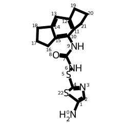 Nc1cnc(SNC(=O)Nc2c3c(cc4c2CCC4)CCC3)s1